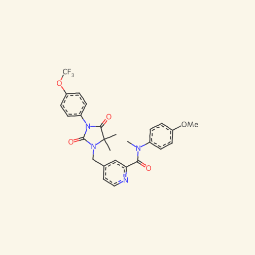 COc1ccc(N(C)C(=O)c2cc(CN3C(=O)N(c4ccc(OC(F)(F)F)cc4)C(=O)C3(C)C)ccn2)cc1